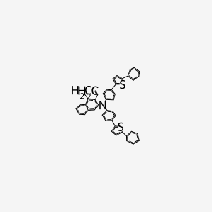 C=Cc1c(N(c2ccc(-c3ccc(-c4ccccc4)s3)cc2)c2ccc(-c3ccc(-c4ccccc4)s3)cc2)cc2ccccc2c1C=C